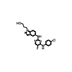 OCCCn1ncc2cc(Nc3ncc(F)c(Nc4ccc(Cl)cc4)n3)ccc21